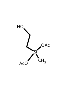 CC(=O)O[Si](C)(CCO)OC(C)=O